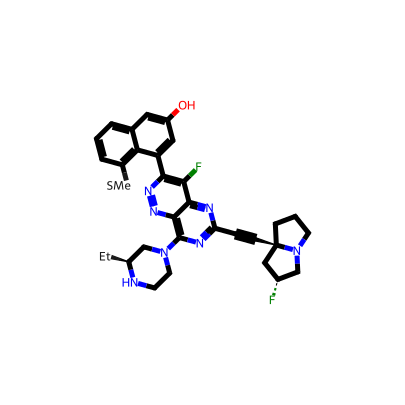 CC[C@H]1CN(c2nc(C#C[C@@]34CCCN3C[C@H](F)C4)nc3c(F)c(-c4cc(O)cc5cccc(SC)c45)nnc23)CCN1